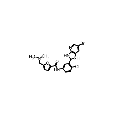 CN(C)Cc1ccc(C(=O)Nc2ccc(Cl)c(C3Nc4cc(Br)cnc4N3)c2)o1